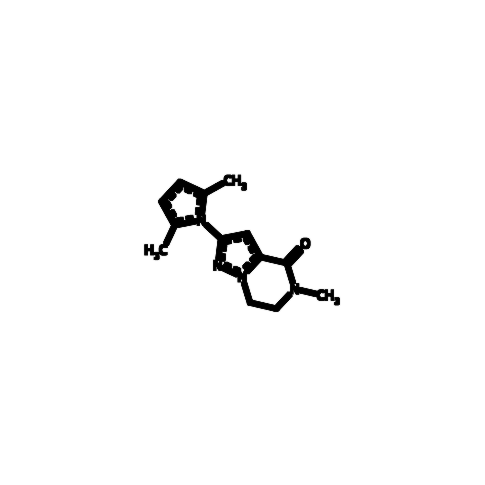 Cc1ccc(C)n1-c1cc2n(n1)CCN(C)C2=O